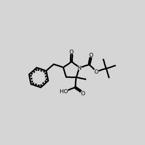 CC(C)(C)OC(=O)N1C(=O)C(Cc2ccccc2)CC1(C)C(=O)O